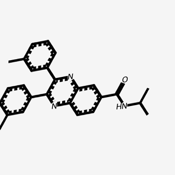 Cc1cccc(-c2nc3ccc(C(=O)NC(C)C)cc3nc2-c2cccc(C)c2)c1